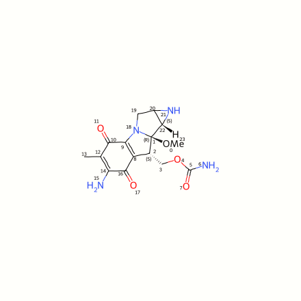 CO[C@@]12[C@H](COC(N)=O)C3=C(C(=O)C(C)=C(N)C3=O)N1CC1N[C@@H]12